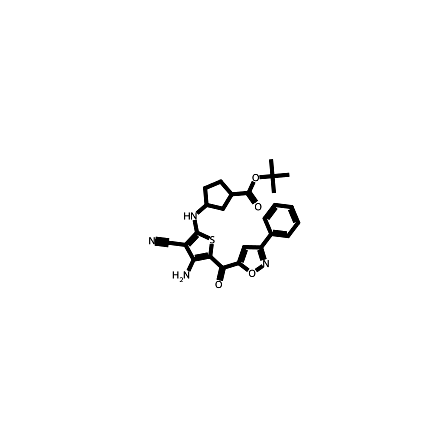 CC(C)(C)OC(=O)C1CCC(Nc2sc(C(=O)c3cc(-c4ccccc4)no3)c(N)c2C#N)C1